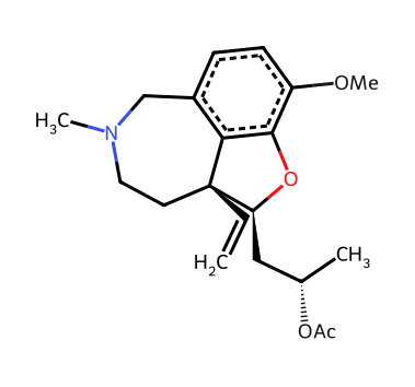 C=C[C@@]12CCN(C)Cc3ccc(OC)c(c31)O[C@H]2C[C@H](C)OC(C)=O